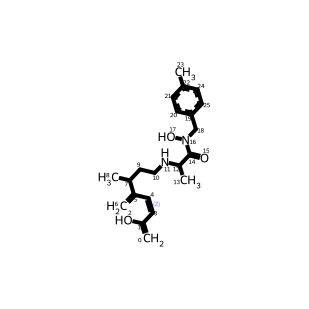 C=C(O)/C=C\C(=C)C(C)CCNC(C)C(=O)N(O)Cc1ccc(C)cc1